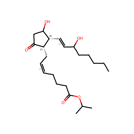 CCCCCC(O)/C=C/[C@H]1C(O)CC(=O)[C@H]1C/C=C\CCCC(=O)OC(C)C